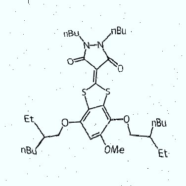 CCCCC(CC)COc1cc(OC)c(OCC(CC)CCCC)c2c1SC(=C1C(=O)N(CCCC)N(CCCC)C1=O)S2